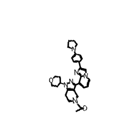 CC(=O)N1CCc2c(c(-c3cccn4cc(-c5ccc(N6CCCC6)cc5)nc34)nn2C2CCOCC2)C1